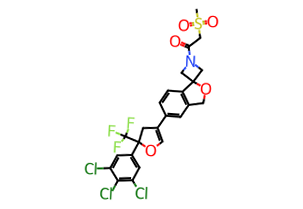 CS(=O)(=O)CC(=O)N1CC2(C1)OCc1cc(C3=COC(c4cc(Cl)c(Cl)c(Cl)c4)(C(F)(F)F)C3)ccc12